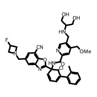 COCc1cc(C(=O)NC2(c3nc4cc(CN5CC(F)C5)cc(C#N)c4o3)C=CC=C(c3ccccc3C)C2Cl)ncc1CNC(CO)CO